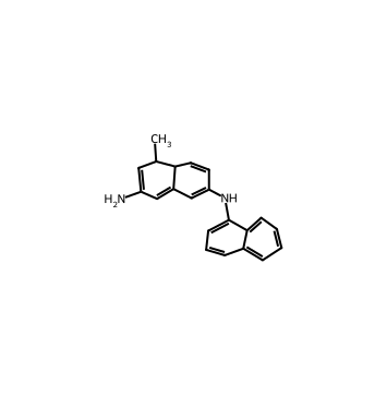 CC1C=C(N)C=C2C=C(Nc3cccc4ccccc34)C=CC21